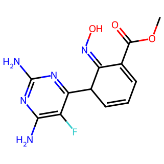 COC(=O)C1=CC=CC(c2nc(N)nc(N)c2F)C1=NO